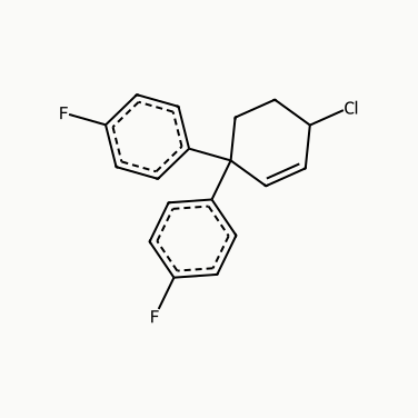 Fc1ccc(C2(c3ccc(F)cc3)C=CC(Cl)CC2)cc1